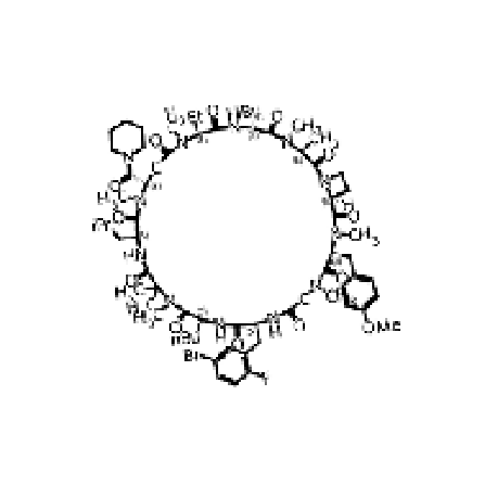 CCCC[C@@H]1NC(=O)[C@H](Cc2cc(Br)ccc2F)NC(=O)CN(C)C(=O)[C@H](Cc2ccc(OC)cc2)N(C)C(=O)[C@@H]2CCN2C(=O)[C@H](C)N(C)C(=O)[C@H]([C@@H](C)CC)NC(=O)[C@H](CC)N(C)C(=O)C[C@@H](C(=O)N2CCCCC2)N(C)C(=O)[C@H](CC(C)C)NC(=O)C(C)(C)N(C)C1=O